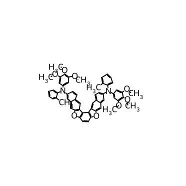 COc1cc(N(c2ccc3cc4c(cc3c2)oc2ccc3oc5cc6cc(N(c7cc(OC)c(OC)c(OC)c7)c7ccccc7C)ccc6cc5c3c24)c2ccccc2C)cc(OC)c1OC